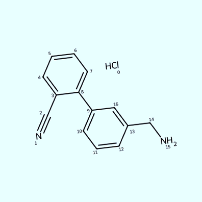 Cl.N#Cc1ccccc1-c1cccc(CN)c1